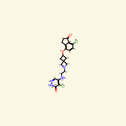 O=C1CCc2c(OC3CC4(C3)CN(CCNc3cn[nH]c(=O)c3Cl)C4)ccc(Cl)c21